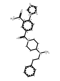 CN(CCc1ccccc1)C1CCN(C(=O)c2ccc(-n3cncn3)c(C(N)=O)c2)CC1